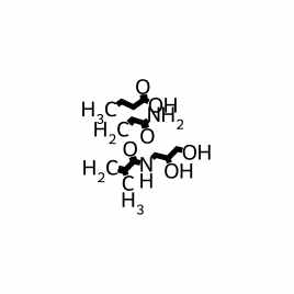 C=C(C)C(=O)NCC(O)CO.C=CC(N)=O.CCCC(=O)O